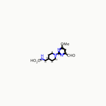 COc1cc(C=O)nc(N2CCC(CNC(=O)O)CC2)n1